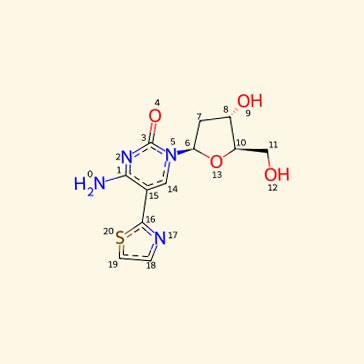 Nc1nc(=O)n([C@H]2C[C@H](O)[C@@H](CO)O2)cc1-c1nccs1